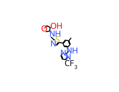 Cc1cc(Nc2nccc(C(F)(F)F)n2)cc(-c2cnc(CNC3COCC3O)s2)c1